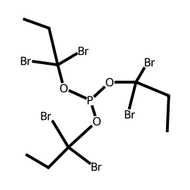 CCC(Br)(Br)OP(OC(Br)(Br)CC)OC(Br)(Br)CC